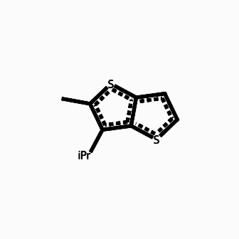 Cc1sc2ccsc2c1C(C)C